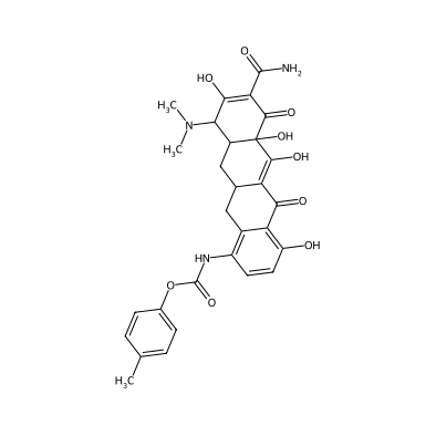 Cc1ccc(OC(=O)Nc2ccc(O)c3c2CC2CC4C(N(C)C)C(O)=C(C(N)=O)C(=O)C4(O)C(O)=C2C3=O)cc1